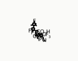 Cc1cc(F)cc(C)c1-c1cc(F)c(F)c(C(/C=N/C(=O)C(CC(C)C)n2cc(CCN(C)C)c(C(F)(F)F)cc2=O)CC(=O)O)c1